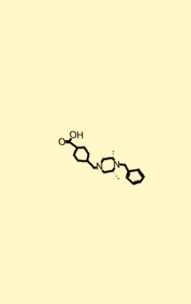 C[C@@H]1CN(CC2CCC(C(=O)O)CC2)C[C@H](C)N1Cc1ccccc1